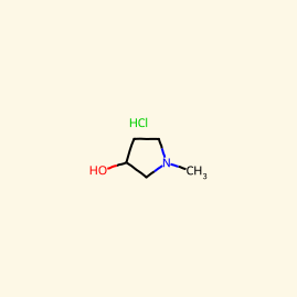 CN1CCC(O)C1.Cl